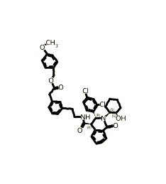 COc1ccc(COC(=O)Cc2cccc(CCNC(=O)[C@@H]3c4ccccc4C(=O)N([C@H]4CCCC[C@@H]4O)[C@H]3c3ccc(Cl)cc3Cl)c2)cc1